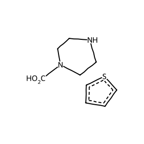 O=C(O)N1CCNCC1.c1ccsc1